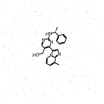 Cc1cccn2c(-c3nc(N[C@@H](C)c4ccccc4)ncc3CO)cnc12